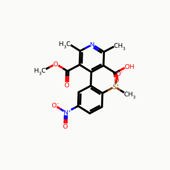 COC(=O)c1c(C)nc(C)c(C(=O)O)c1-c1cc([N+](=O)[O-])ccc1[S+](C)[O-]